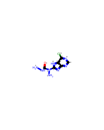 NNC(=O)N(N)c1nc2ncnc(Cl)c2[nH]1